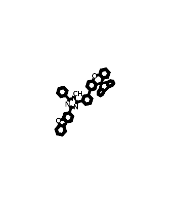 CN1C(c2cccc(-c3ccc4c(c3)C3(c5ccccc5O4)c4ccccc4-c4ccccc43)c2)=NC(c2ccc3c(c2)oc2ccccc23)=NC1c1ccccc1